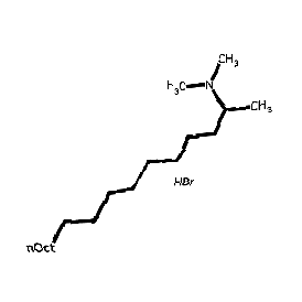 Br.CCCCCCCCCCCCCCCCC(C)N(C)C